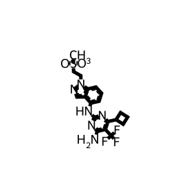 CS(=O)(=O)CCn1ncc2c(Nc3nc(N)c(C(F)(F)F)c(C4CCC4)n3)cccc21